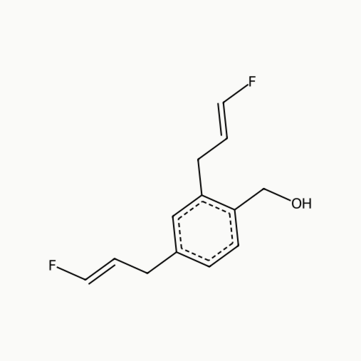 OCc1ccc(CC=CF)cc1CC=CF